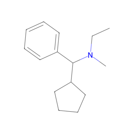 CCN(C)C(c1ccccc1)C1CCCC1